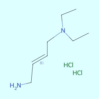 CCN(CC)C/C=C/CN.Cl.Cl